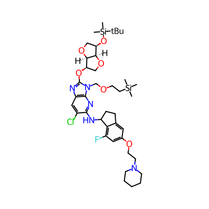 CC(C)(C)[Si](C)(C)O[C@@H]1CO[C@H]2[C@@H]1OC[C@H]2Oc1nc2cc(Cl)c(NC3CCc4cc(OCCN5CCCCC5)cc(F)c43)nc2n1COCC[Si](C)(C)C